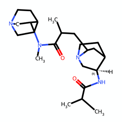 CC(C)C(=O)N[C@H]1CN2CCC1CC2CC(C)C(=O)N(C)C1CN2CCC1CC2